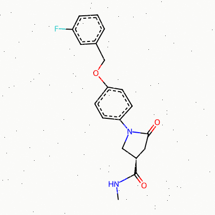 CNC(=O)[C@@H]1CC(=O)N(c2ccc(OCc3cccc(F)c3)cc2)C1